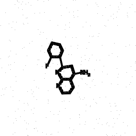 Nc1cc(-c2ccccc2F)nc2ncccc12